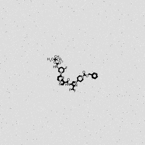 CC(C)(C)OC(=O)N[C@@H]1C[C@@H](F)CN(c2ccn3ncc(C(=O)Nc4cn(C5CCN(C(=O)OCc6ccccc6)CC5)nc4C(F)F)c3n2)C1